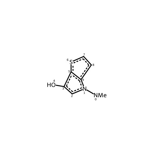 CNn1cc(O)c2sccc21